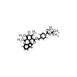 CC(=O)C1=C(C)NC(C)=C(C(=O)OCC2CCN(C(=O)OC(C)(C)C)CC2)C1c1csc2ccccc12